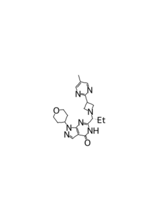 CC[C@H](c1nc2c(cnn2C2CCOCC2)c(=O)[nH]1)N1CC(c2ncc(C)cn2)C1